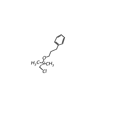 C[Si](C)(CCl)OCCCc1ccccc1